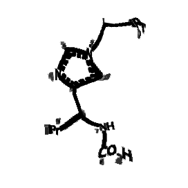 CC(C)Cn1cnc(C(NC(=O)O)C(C)C)c1